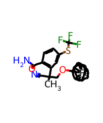 CC(C#N)(CO[C]12[CH]3[CH]4[CH]5[CH]1[Fe]45321678[CH]2[CH]1[CH]6[CH]7[CH]28)c1cc(SC(F)(F)F)ccc1C(N)=O